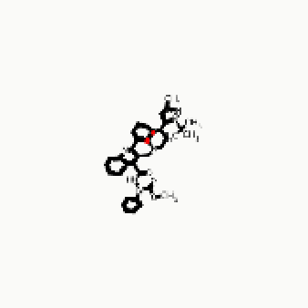 COC(=O)N(NC(=O)c1c(CN2CCC(c3cc(C)nn3C(C)(C)C)CC2)c(-c2ccccc2)nc2ccccc12)c1ccccc1